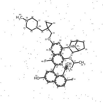 C#Cc1c(F)ccc2cc(O)cc(-c3nc(OC(C)C)c4c(N5CC6CCC(C5)N6)nc(OCC5(CN6CCN(C)CC6)CC5)nc4c3F)c12